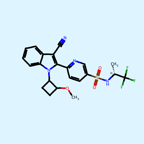 COC1CCC1n1c(-c2ccc(S(=O)(=O)N[C@H](C)C(F)(F)F)cn2)c(C#N)c2ccccc21